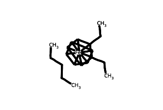 CCCCC.CC[C]12[CH]3[CH]4[CH]5[C]1(CC)[Fe]43521678[CH]2[CH]1[CH]6[CH]7[CH]28